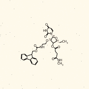 CC[C@H]1O[C@@H](n2ccc(=O)[nH]c2=O)[C@@H](OCCNC(=O)OCC2c3ccccc3-c3ccccc32)C1OC(=O)CCC(=O)NC